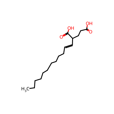 CCCCCCCCCC/C=C/C(CCC(=O)O)C(=O)O